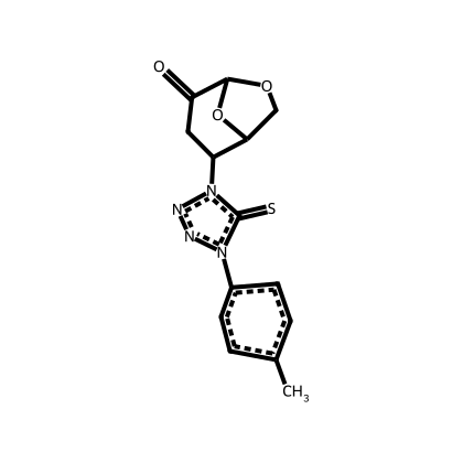 Cc1ccc(-n2nnn(C3CC(=O)C4OCC3O4)c2=S)cc1